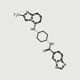 O=C(N[C@H]1CC[C@@H](Nc2cccc3nc(C(F)(F)F)cn23)CC1)c1ccc2ncnn2c1